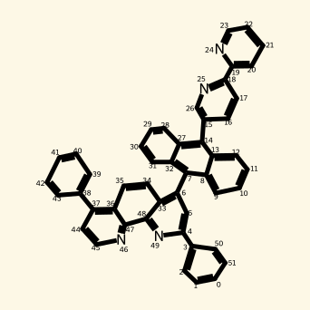 c1ccc(-c2cc(-c3c4ccccc4c(-c4ccc(-c5ccccn5)nc4)c4ccccc34)c3ccc4c(-c5ccccc5)ccnc4c3n2)cc1